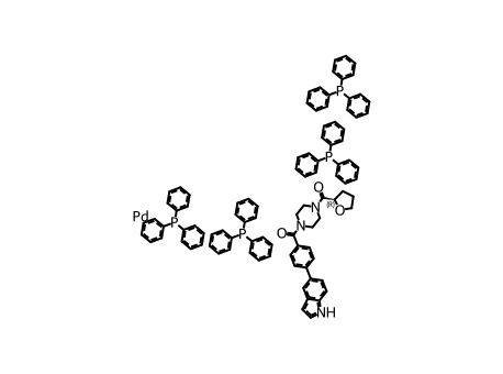 O=C(c1ccc(-c2ccc3[nH]ccc3c2)cc1)N1CCN(C(=O)[C@H]2CCCO2)CC1.[Pd].c1ccc(P(c2ccccc2)c2ccccc2)cc1.c1ccc(P(c2ccccc2)c2ccccc2)cc1.c1ccc(P(c2ccccc2)c2ccccc2)cc1.c1ccc(P(c2ccccc2)c2ccccc2)cc1